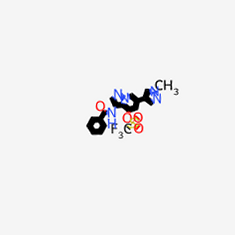 Cn1cc(-c2cc(OS(=O)(=O)C(F)(F)F)c3c(NC(=O)c4ccccc4)cnn3c2)cn1